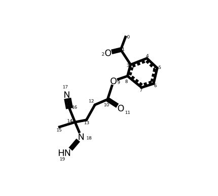 CC(=O)c1ccccc1OC(=O)CCC(C)(C#N)N=N